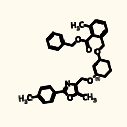 Cc1ccc(-c2nc(CO[C@H]3CCCC(OCc4cccc(C)c4C(=O)OCc4ccccc4)C3)c(C)o2)cc1